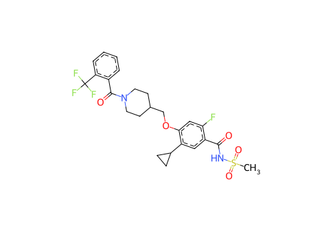 CS(=O)(=O)NC(=O)c1cc(C2CC2)c(OCC2CCN(C(=O)c3ccccc3C(F)(F)F)CC2)cc1F